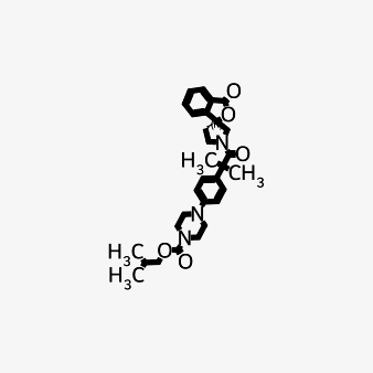 CC(C)COC(=O)N1CCN(c2ccc(C(C)(C)C(=O)N3CC[C@@]4(C3)OC(=O)c3ccccc34)cc2)CC1